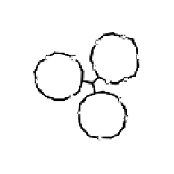 C1CCCCCCCC([C](C2CCCCCCCCCCCCCCC2)C2CCCCCCCCCCCCCCC2)CCCCCCC1